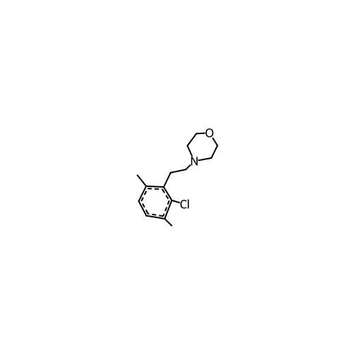 Cc1ccc(C)c(CCN2CCOCC2)c1Cl